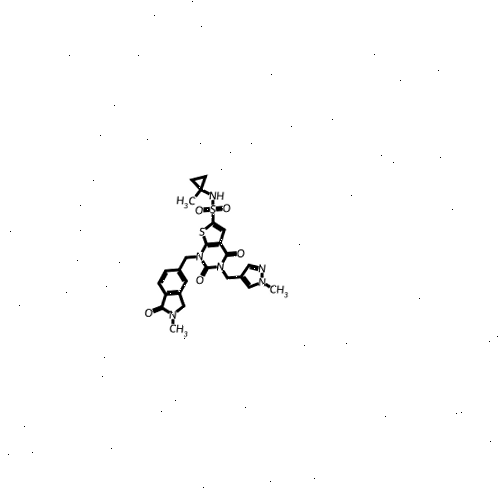 CN1Cc2cc(Cn3c(=O)n(Cc4cnn(C)c4)c(=O)c4cc(S(=O)(=O)NC5(C)CC5)sc43)ccc2C1=O